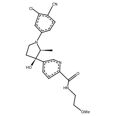 COCCNC(=O)c1ccc([C@]2(O)CCN(c3ccc(C#N)c(Cl)c3)[C@H]2C)cn1